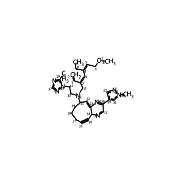 C=C/C(=C\C(=C/COC)CC)CN(CCn1ncnc1C)C1/C=C2/N=C(c3cnn(C)c3)C=NC2C#CCCC1